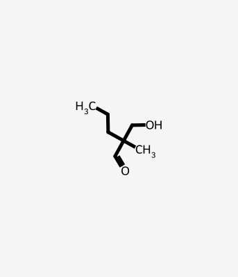 CCCC(C)(C=O)CO